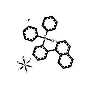 C[PH](c1ccccc1)(c1ccccc1)c1ccccc1-c1cccc2ccccc12.[F][Sb-]([F])([F])([F])([F])[F].[H+]